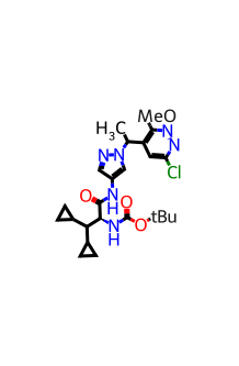 COc1nnc(Cl)cc1C(C)n1cc(NC(=O)[C@@H](NC(=O)OC(C)(C)C)C(C2CC2)C2CC2)cn1